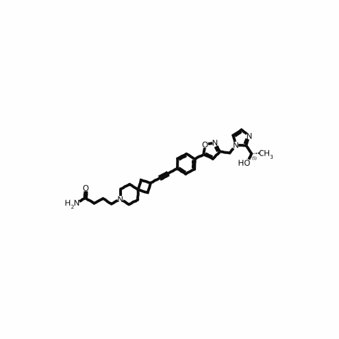 C[C@H](O)c1nccn1Cc1cc(-c2ccc(C#CC3CC4(CCN(CCCC(N)=O)CC4)C3)cc2)on1